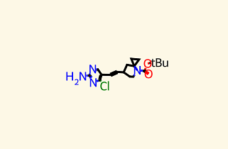 CC(C)(C)OC(=O)N1CCC(C#Cc2cnc(N)nc2Cl)CC12CC2